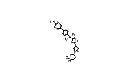 CC(C)[C@](C)(c1ccc(-c2cnc(N)nc2)nc1)c1noc(-c2cnn(C3CCS(=O)(=O)C3)c2)n1